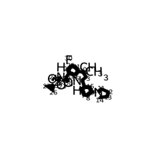 CC1(C)CC(c2cccc(N3CCCC3)c2)Nc2c(C(=O)NS(=O)(=O)C3CC3)cc(F)cc21